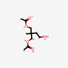 CC(=O)OCC(C)(CCO)COC(C)=O